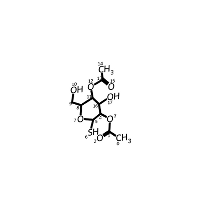 CC(=O)OC1C(S)OC(CO)C(OC(C)=O)C1O